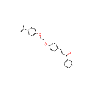 C=C(C)c1ccc(OCCOc2ccc(C=CC(=O)c3ccccc3)cc2)cc1